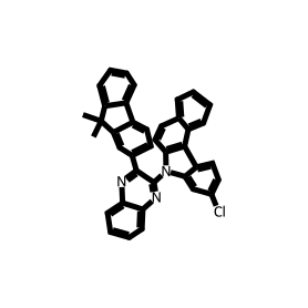 CC1(C)c2ccccc2-c2ccc(-c3nc4ccccc4nc3-n3c4cc(Cl)ccc4c4c5ccccc5ccc43)cc21